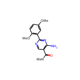 CNC(=O)c1cnc(-c2cc(OC)ccc2OC)nc1N